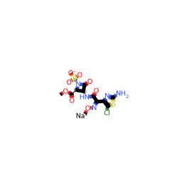 CON=C(C(=O)N[C@H]1C(=O)N(S(=O)(=O)[O-])[C@H]1C(=O)OC)c1nc(N)sc1Cl.[Na+]